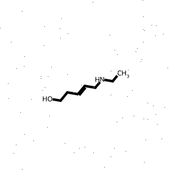 CCNCC=CCCO